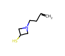 C=CCCN1CC(S)C1